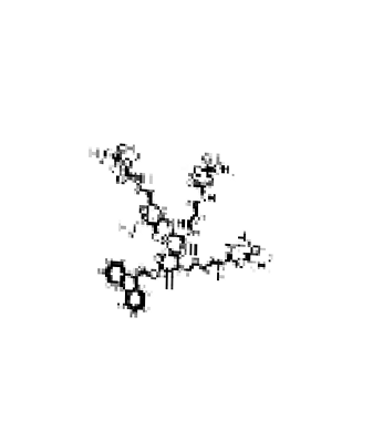 CN(C)C(=O)[C@H](CCCCNC(=O)OC(C)(C)C)NC(=O)[C@H](CCCCNC(=O)OC(C)(C)C)NC(=O)[C@H](CCCCNC(=O)OC(C)(C)C)NC(=O)OCC1c2ccccc2-c2ccccc21